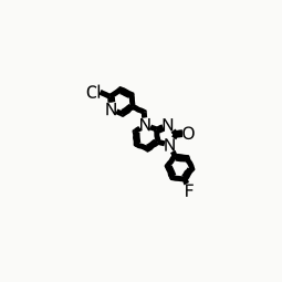 O=c1nc2n(Cc3ccc(Cl)nc3)cccc-2n1-c1ccc(F)cc1